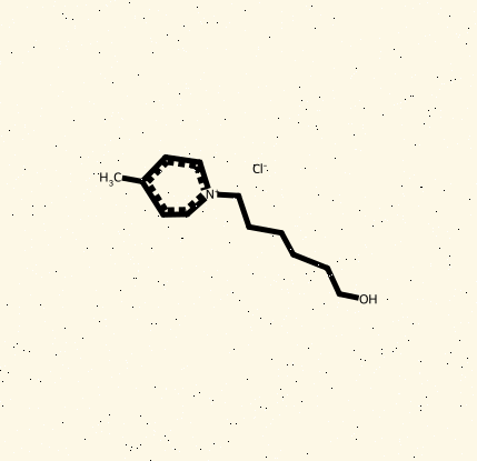 Cc1cc[n+](CCCCCCO)cc1.[Cl-]